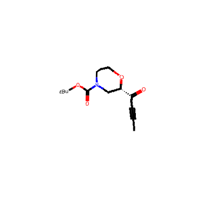 CC#CC(=O)[C@@H]1CN(C(=O)OC(C)(C)C)CCO1